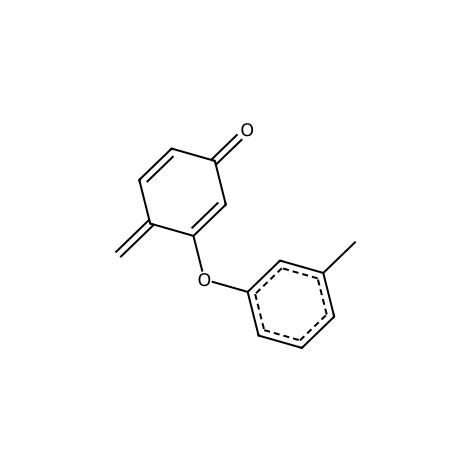 C=C1C=CC(=O)C=C1Oc1cccc(C)c1